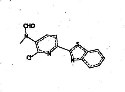 CN(C=O)c1ccc(-c2nc3ccccc3s2)nc1Cl